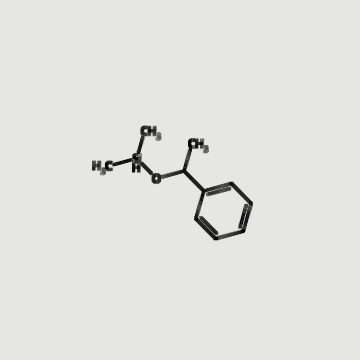 CC(O[SiH](C)C)c1ccccc1